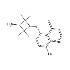 CC1(C)C(N)C(C)(C)C1Oc1ccc(C#N)c2[nH]ccc(=O)c12